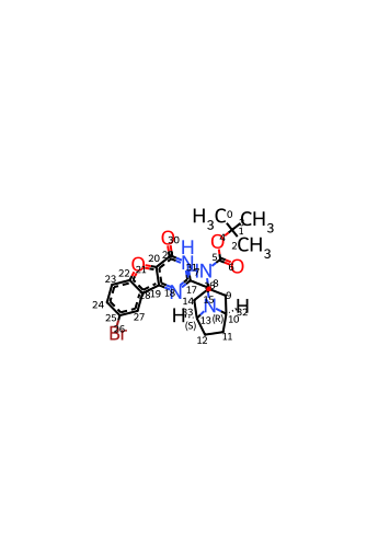 CC(C)(C)OC(=O)NC1C[C@H]2CC[C@@H](C1)N2Cc1nc2c(oc3ccc(Br)cc32)c(=O)[nH]1